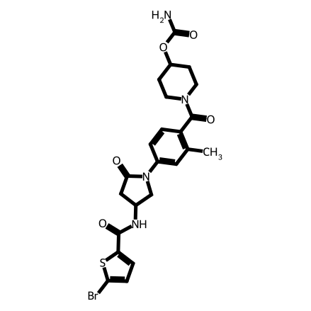 Cc1cc(N2CC(NC(=O)c3ccc(Br)s3)CC2=O)ccc1C(=O)N1CCC(OC(N)=O)CC1